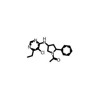 CCc1ncnc(NC2CC(c3ccccc3)N(C(C)=O)C2)c1Cl